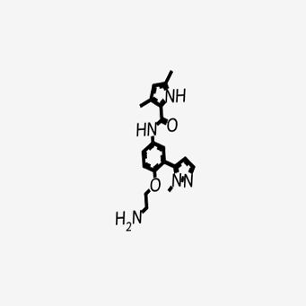 Cc1cc(C)c(C(=O)Nc2ccc(OCCN)c(-c3ccnn3C)c2)[nH]1